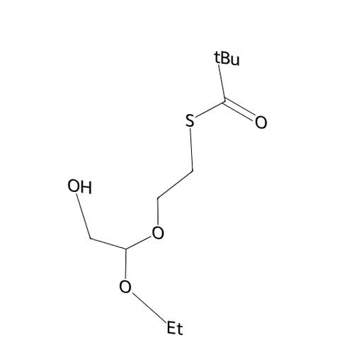 CCOC(CO)OCCSC(=O)C(C)(C)C